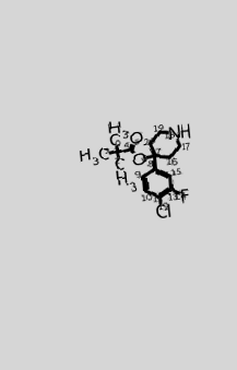 CC(C)(C)C(=O)OC1(c2ccc(Cl)c(F)c2)CCNCC1